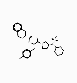 CS(=O)(=O)N(C1CCCCC1)[C@H]1CCN(C(=O)[C@@H](Cc2ccc(Cl)cc2)NC(=O)[C@H]2Cc3ccccc3CN2)C1